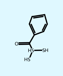 O=C(c1ccccc1)[SH](S)S